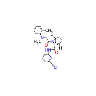 Cc1ccccc1N(C)CC(=O)N1[C@@H]2CC[C@@H](C2)[C@H]1C(=O)Nc1cccc(C#N)n1